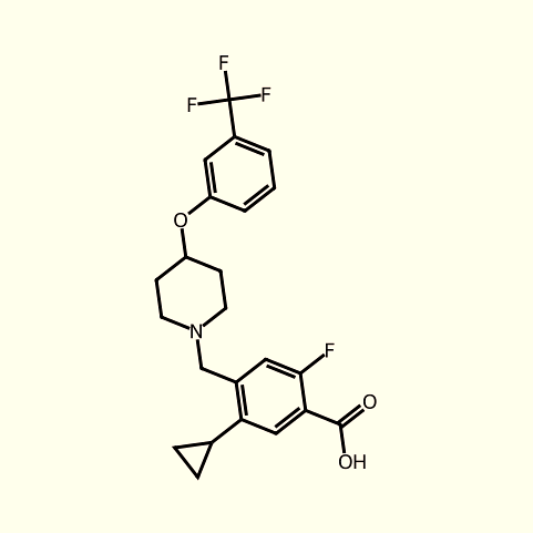 O=C(O)c1cc(C2CC2)c(CN2CCC(Oc3cccc(C(F)(F)F)c3)CC2)cc1F